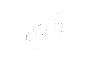 c1ccn2ncc(-c3ccc4ncn(C5CCOCC5)c4n3)c2c1